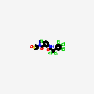 O=C(NC1CC[S+]([O-])C1)c1cc(NC(=O)C2C(c3cc(Cl)c(Cl)c(Cl)c3)C2(Cl)Cl)ccc1Cl